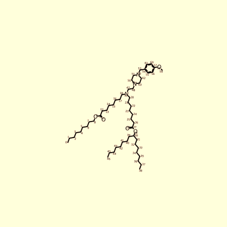 CCCCCCCCCOC(=O)CCCCCCCN(CCCCCCCC(=O)OC(CCCCCCCC)CCCCCCCC)CCN1CCN(Cc2ccc(OC)cc2)CC1